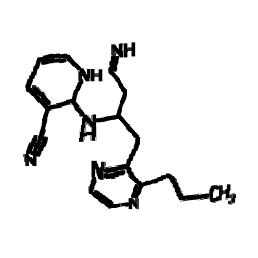 CCCc1nccnc1CC(CC=N)NC1NC=CC=C1C#N